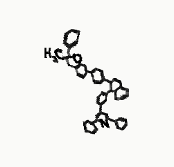 CC1Cc2ccc(-c3ccc(-c4ccc5ccccc5c4-c4cccc(-c5cc(-c6ccccc6)nc(-c6ccccc6)c5)c4)cc3)cc2OC1c1ccccc1